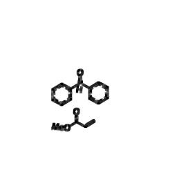 C=CC(=O)OC.O=[PH](c1ccccc1)c1ccccc1